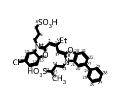 CCC(=CC1=[N+](CCCS(=O)(=O)O)C2C=C(Cl)C=CC2O1)/C=C1\Oc2ccc(-c3ccccc3)cc2N1CCC(C)S(=O)(=O)O